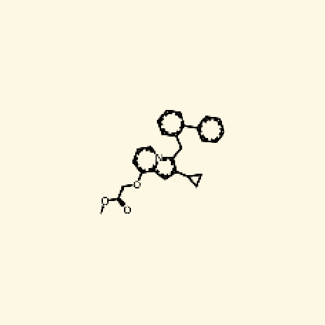 COC(=O)COc1cccn2c(Cc3ccccc3-c3ccccc3)c(C3CC3)cc12